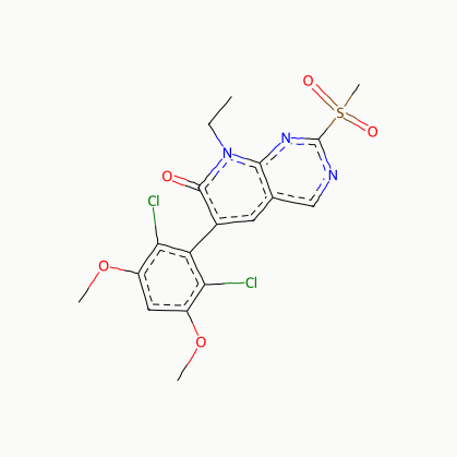 CCn1c(=O)c(-c2c(Cl)c(OC)cc(OC)c2Cl)cc2cnc(S(C)(=O)=O)nc21